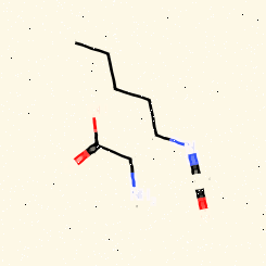 CCCCCN=C=O.NCC(=O)O